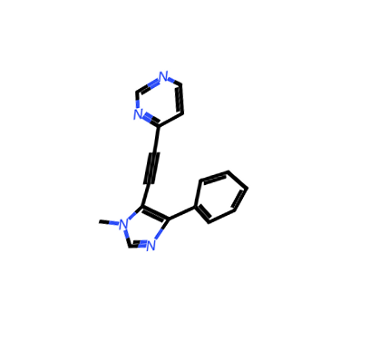 Cn1cnc(-c2ccccc2)c1C#Cc1ccncn1